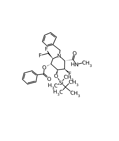 CNC(=O)[C@@H]1[C@@H](F)[C@@H](O[Si](C)(C)C(C)(C)C)[C@H](OC(=O)c2ccccc2)[C@@H](C(F)F)N1Cc1ccccc1